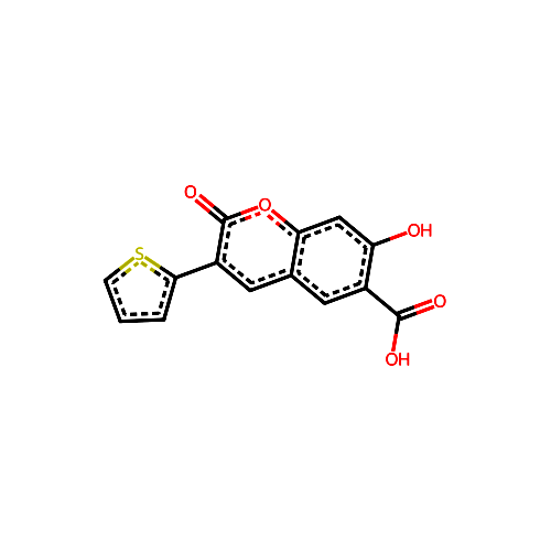 O=C(O)c1cc2cc(-c3cccs3)c(=O)oc2cc1O